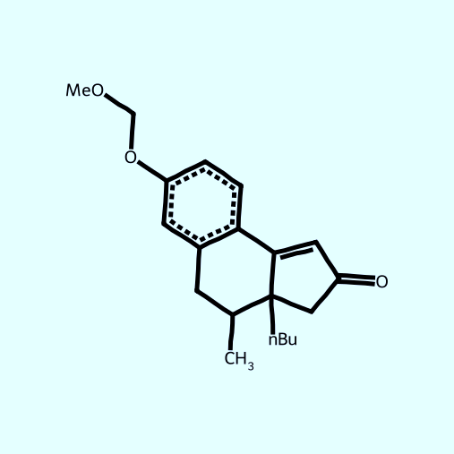 CCCCC12CC(=O)C=C1c1ccc(OCOC)cc1CC2C